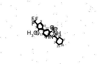 COc1cc(C(F)(F)F)ccc1-c1ccc2c(c1)S(=O)(=O)NC(C1CCCCC1)N2